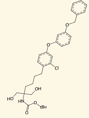 CC(C)(C)OC(=O)NC(CO)(CO)CCCCc1ccc(Oc2cccc(OCc3ccccc3)c2)cc1Cl